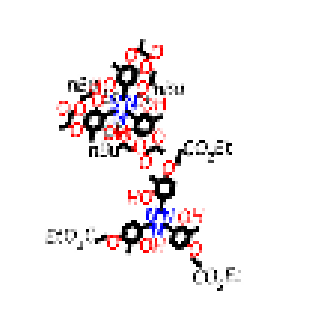 CCCCC(COC(=O)C(C)Oc1ccc(-c2nc(-c3ccc(OC(C)C(=O)OCC(CCCC)OCC)c(C)c3O)nc(-c3ccc(OC(C)C(=O)OCC(CCCC)OCC)c(C)c3O)n2)c(O)c1C)OCC.CCOC(=O)CCOc1ccc(-c2nc(-c3ccc(OCCC(=O)OCC)c(C)c3O)nc(-c3ccc(OCCC(=O)OCC)c(C)c3O)n2)c(O)c1C